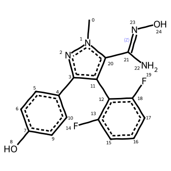 Cn1nc(-c2ccc(O)cc2)c(-c2c(F)cccc2F)c1/C(N)=N/O